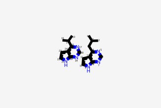 CC(C)Cc1ncnc2[nH]ccc12.CC(C)c1ncnc2[nH]ccc12